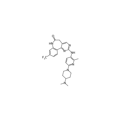 Cc1nc(N2CCC(N(C)C)CC2)ccc1Nc1ncc2c(n1)-c1ccc(C(F)(F)F)cc1NC(=O)C2